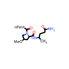 CCCCCC(=O)N1CC(OC)CC1C(=O)NC(C)CCC(N)=O